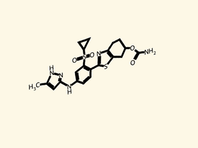 Cc1cc(Nc2ccc(-c3nc4c(s3)CC(OC(N)=O)CC4)c(S(=O)(=O)C3CC3)c2)n[nH]1